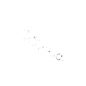 CC[C@@]1(O)CC[C@@H]2C3CC[C@@]4(C)C(CC[C@@H]4C(=O)Cn4ccnc4)C3CC[C@@H]2C1